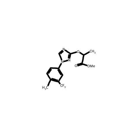 COC(=O)C(C)Oc1ncn(-c2ccc(C)c(C(F)(F)F)c2)n1